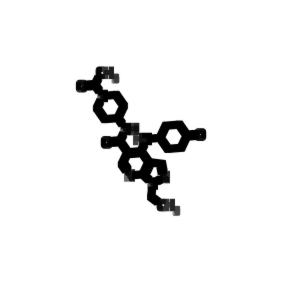 CCn1ncc2c(NC3CCC(=O)CC3)c(C(=O)NC3CCN(C(C)=O)CC3)cnc21